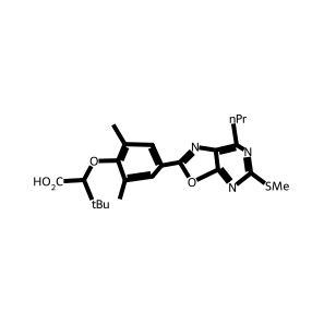 CCCc1nc(SC)nc2oc(-c3cc(C)c(OC(C(=O)O)C(C)(C)C)c(C)c3)nc12